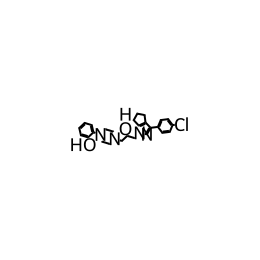 Oc1ccccc1N1CCN(CC(O)Cn2nc(-c3ccc(Cl)cc3)c3c2CCC3)CC1